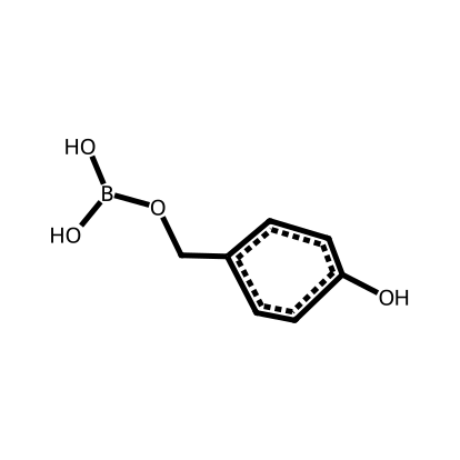 OB(O)OCc1ccc(O)cc1